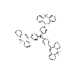 CC1(C)C2=C(C=CCC2)C=C(c2ccc(N(c3ccc(C4=Cc5ccccc5C(C)(C)c5ccccc54)cc3)c3ccc(C4=Cc5ccccc5C(C)(C)c5ccccc54)cc3)cc2)c2ccccc21